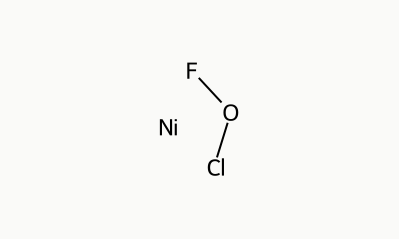 FOCl.[Ni]